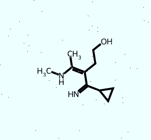 CN/C(C)=C(/CCO)C(=N)C1CC1